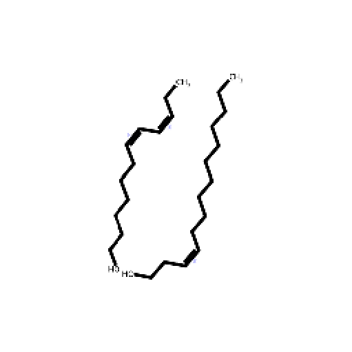 CC/C=C\C=C/CCCCCCO.CCCCCCCCCC/C=C\CCO